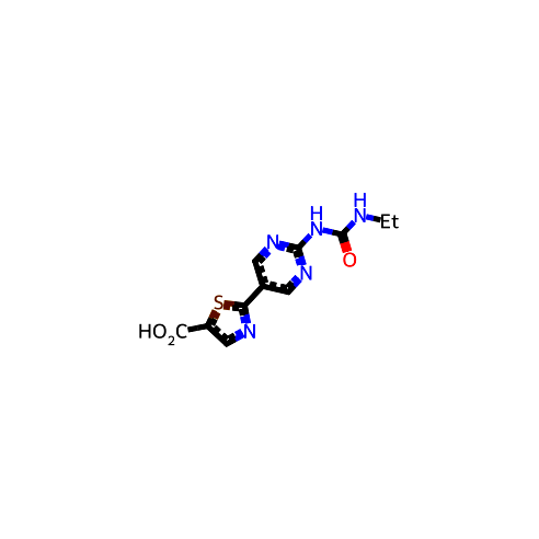 CCNC(=O)Nc1ncc(-c2ncc(C(=O)O)s2)cn1